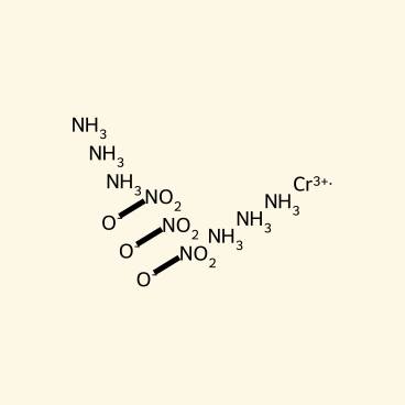 N.N.N.N.N.N.O=[N+]([O-])[O-].O=[N+]([O-])[O-].O=[N+]([O-])[O-].[Cr+3]